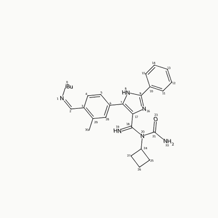 CCC(C)/N=C\c1ccc(-c2[nH]c(-c3ccccc3)nc2C(=N)N(C(N)=O)C2CCC2)cc1C